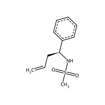 C=CC[C@H](NS(C)(=O)=O)c1ccccc1